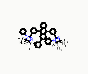 CC1(C)N=C(c2cccc(-c3c4ccccc4c(-c4cccc(C5=NC(C)(C)C(C)(C)N5c5ccccc5)c4)c4cc(-c5ccccc5)ccc34)c2)N(c2ccccc2)C1(C)C